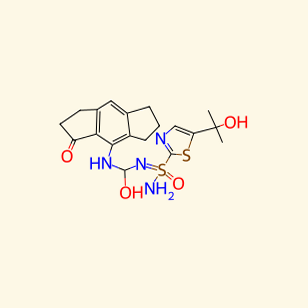 CC(C)(O)c1cnc(S(N)(=O)=NC(O)Nc2c3c(cc4c2C(=O)CC4)CCC3)s1